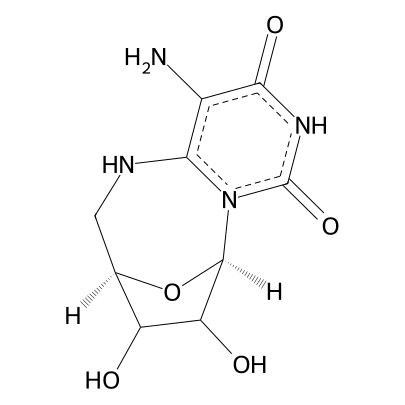 Nc1c2n(c(=O)[nH]c1=O)[C@@H]1O[C@H](CN2)C(O)C1O